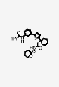 CCCC(=O)Nc1cccc(-c2ccc([C@@]3(CC(=O)NOC4CCCCO4)CCCCS3)s2)c1